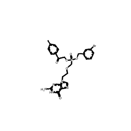 Cc1ccc(C(=O)COP(=O)(COCCn2cnc3c(=O)[nH]c(N)nc32)OCc2cccc(Br)c2)cc1